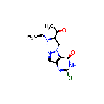 C=CNC(Cn1ncc2nc(Cl)[nH]c(=O)c21)C(C)O